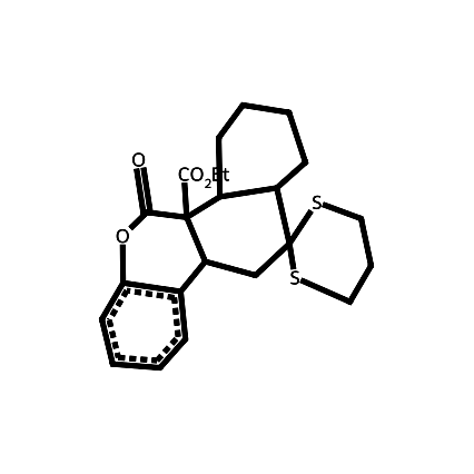 CCOC(=O)C12C(=O)Oc3ccccc3C1CC1(SCCCS1)C1CCCCC12